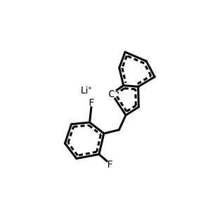 Fc1cccc(F)c1Cc1cc2ccccc2[cH-]1.[Li+]